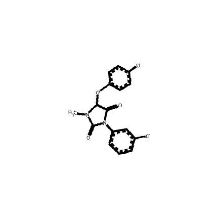 CN1C(=O)N(c2cccc(Cl)c2)C(=O)C1Oc1ccc(Cl)cc1